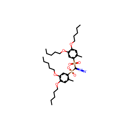 CCCCCOc1cc(C)c(S(=O)(=O)C(=[N+]=[N-])S(=O)(=O)c2cc(OCCCCC)c(OCCCCC)cc2C)cc1OCCCCC